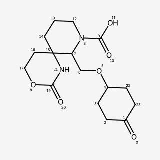 O=C1CCC(OCC2N(C(=O)O)CCCC23CCOC(=O)N3)CC1